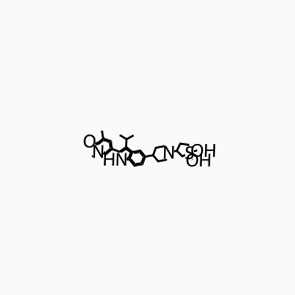 Cc1cc(-c2[nH]c3ccc(C4CCN(C5CCS(O)(O)C5)CC4)cc3c2C(C)C)cn(C)c1=O